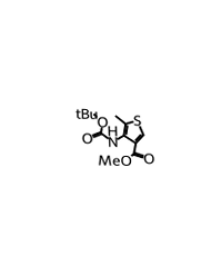 COC(=O)c1csc(C)c1NC(=O)OC(C)(C)C